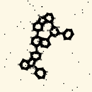 c1ccc(-c2nc(-c3ccccc3)nc(-c3cccc4oc5ccc(-c6ccc(-c7ccc8c(c7)c7ccccc7n8-c7ccccc7)cc6)cc5c34)n2)cc1